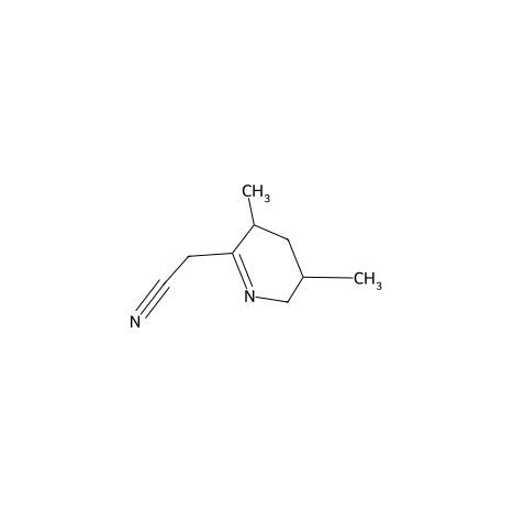 CC1CN=C(CC#N)C(C)C1